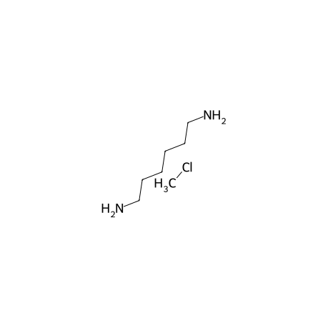 CCl.NCCCCCCN